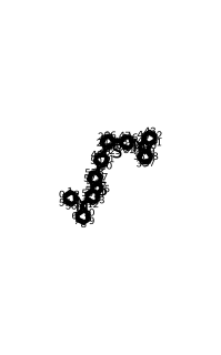 c1ccc(N(c2ccccc2)c2ccc3sc4cc(-c5ccc(-c6cccc7c6sc6cc(-n8c9ccccc9c9ccccc98)ccc67)cc5)ccc4c3c2)cc1